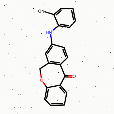 O=Nc1ccccc1Nc1ccc2c(c1)COc1ccccc1C2=O